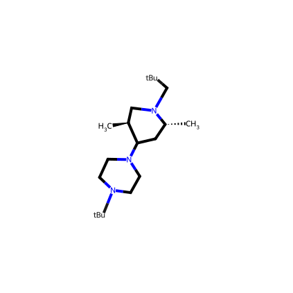 C[C@@H]1CC(N2CCN(C(C)(C)C)CC2)[C@@H](C)CN1CC(C)(C)C